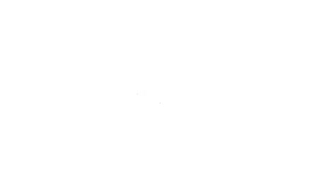 Cc1cccc([C@H]2C=Cc3ccccc3O2)c1